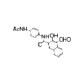 CC(=O)Nc1ccc(NC(=O)c2cc3ccccc3c(C=O)c2O)cc1